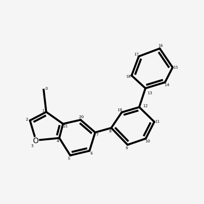 Cc1coc2ccc(-c3cccc(-c4ccccc4)c3)cc12